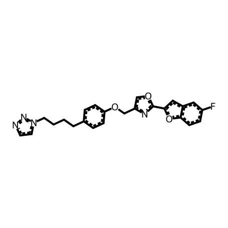 Fc1ccc2oc(-c3nc(COc4ccc(CCCCn5ccnn5)cc4)co3)cc2c1